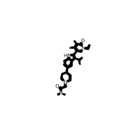 CCn1cc(-c2[nH]c3ccc(C4CCN(CC(=O)N(C)C)CC4)cc3c2C(C)C)c(C)c(C)c1=O